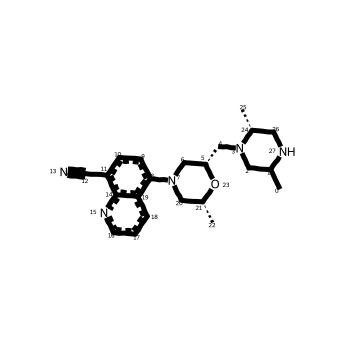 CC1CN(C[C@H]2CN(c3ccc(C#N)c4ncccc34)C[C@@H](C)O2)[C@H](C)CN1